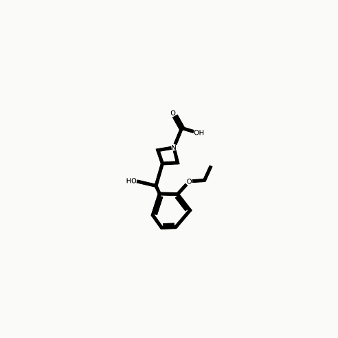 CCOc1ccccc1C(O)C1CN(C(=O)O)C1